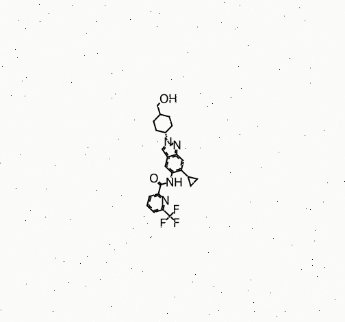 O=C(Nc1cc2cn(C3CCC(CO)CC3)nc2cc1C1CC1)c1cccc(C(F)(F)F)n1